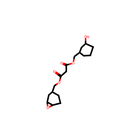 O=C(CC(=O)OCC1CCC2OC2C1)OCC1CCCC(O)C1